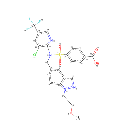 COCCn1ncc2cc(CN(c3ncc(C(F)(F)F)cc3Cl)S(=O)(=O)c3ccc(C(=O)O)cc3)ccc21